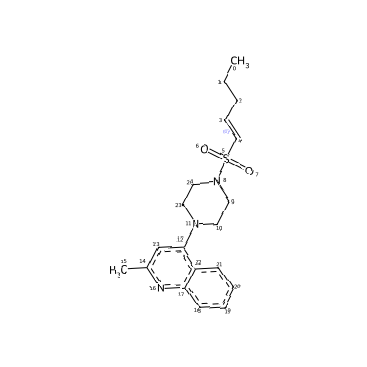 CCC/C=C/S(=O)(=O)N1CCN(c2cc(C)nc3ccccc23)CC1